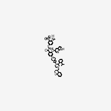 CNc1ccc(SNC(=O)c2ccc(N3CCC4(CC3)CC(N3CCN(CC5CCOC6C=CC=CC56)CC3c3ccccc3C(C)C)C4)cc2Oc2cnc3[nH]ccc3c2)cc1[N+](=O)[O-]